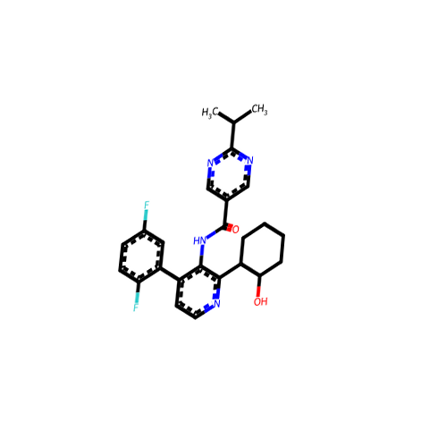 CC(C)c1ncc(C(=O)Nc2c(-c3cc(F)ccc3F)ccnc2C2CCCCC2O)cn1